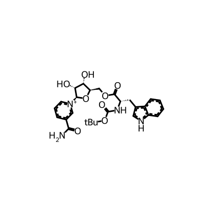 CC(C)(C)OC(=O)N[C@@H](Cc1c[nH]c2ccccc12)C(=O)OC[C@H]1O[C@@H]([n+]2cccc(C(N)=O)c2)[C@H](O)[C@@H]1O